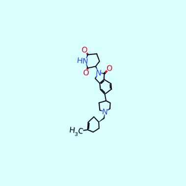 CC1=CC[C@@H](CN2CCC(c3ccc4c(c3)CN(C3CCC(=O)NC3=O)C4=O)CC2)CC1